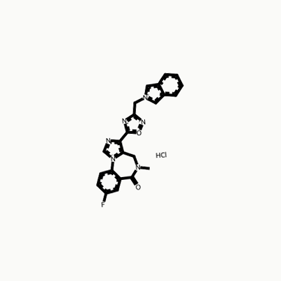 CN1Cc2c(-c3nc(Cn4cc5ccccc5c4)no3)ncn2-c2ccc(F)cc2C1=O.Cl